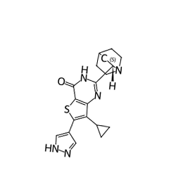 O=c1[nH]c([C@@H]2CC3CCN2CC3)nc2c(C3CC3)c(-c3cn[nH]c3)sc12